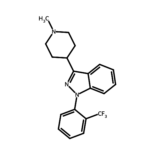 CN1CCC(c2nn(-c3ccccc3C(F)(F)F)c3ccccc23)CC1